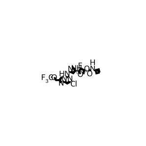 O=C(NC12CC(C1)C2)O[C@H]1CO[C@@H](c2cc(Nc3nc(Cl)cc4nc(COC(F)(F)F)cn34)n[nH]2)[C@@H]1F